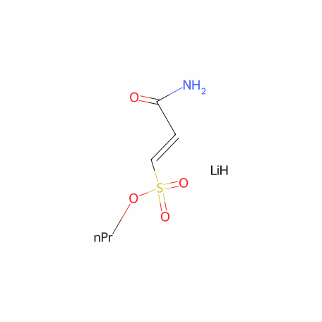 CCCOS(=O)(=O)C=CC(N)=O.[LiH]